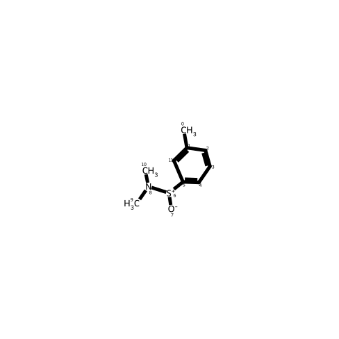 Cc1cccc([S+]([O-])N(C)C)c1